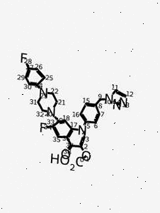 O=C(O)Oc1cn(-c2ccc(Cn3ccnn3)cc2)c2cc(N3CCN(c4ccc(F)cc4)CC3)c(F)cc2c1=O